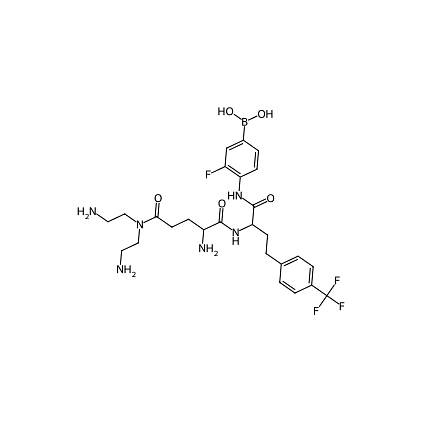 NCCN(CCN)C(=O)CCC(N)C(=O)NC(CCc1ccc(C(F)(F)F)cc1)C(=O)Nc1ccc(B(O)O)cc1F